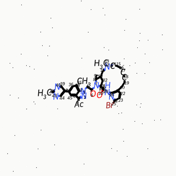 CC(=O)c1nn(CC(=O)N2C3C[C@@]34/C=[N+](/C)CCCCCCCc3ccc(Br)nc3NC(=O)[C@@H]2C4)c2c(C)cc(-c3cnc(C)nc3)cc12